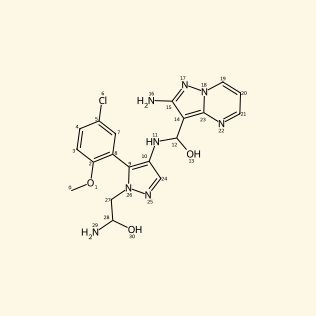 COc1ccc(Cl)cc1-c1c(NC(O)c2c(N)nn3cccnc23)cnn1CC(N)O